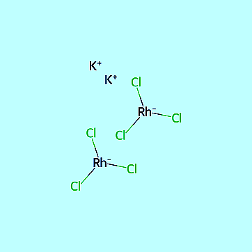 [Cl][Rh-]([Cl])[Cl].[Cl][Rh-]([Cl])[Cl].[K+].[K+]